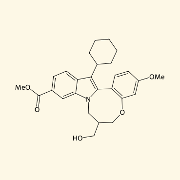 COC(=O)c1ccc2c(C3CCCCC3)c3n(c2c1)CC(CO)COc1cc(OC)ccc1-3